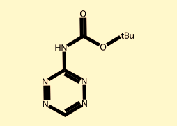 CC(C)(C)OC(=O)Nc1nncnn1